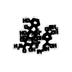 CC(C)NCC(O)c1ccc(O)c(O)c1.C[C@H]1c2cccc(O)c2C(=O)C2=C(O)[C@]3(O)C(=O)C(C(N)=O)=C(O)[C@@H](N(C)C)[C@@H]3[C@@H](O)[C@@H]21.O